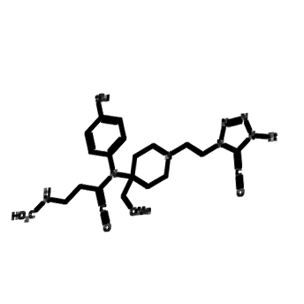 CCN1N=NN(CCN2CCC(COC)(N(C(=C=O)CCNC(=O)O)c3ccc(C(C)(C)C)cc3)CC2)C1=C=O